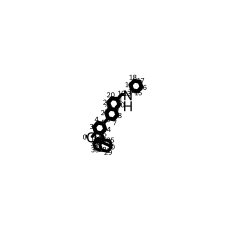 COc1ccc(-c2ccc3cc(CNc4ccccc4)ccc3c2)cc1C12CC3CC(CC(C3)C1)C2